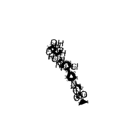 O=S(=O)(C1CC1)N1CCN(c2ccc(-c3nc4nc(O[C@@H]5CO[C@H]6[C@@H]5OC[C@H]6O)[nH]c4cc3Cl)cc2)CC1